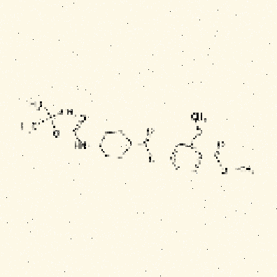 COC(=O)c1ccc(OC(=O)[C@H]2CC[C@@H](NC(=O)OC(C)(C)C)CC2)cc1OC